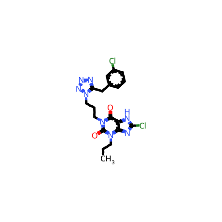 CCCn1c(=O)n(CCCn2nnnc2Cc2cccc(Cl)c2)c(=O)c2[nH]c(Cl)nc21